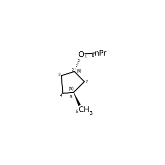 CCCO[C@H]1CC[C@H](C)C1